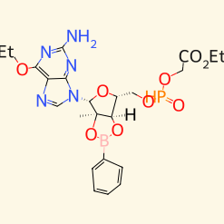 CCOC(=O)CO[PH](=O)OC[C@H]1O[C@@H](n2cnc3c(OCC)nc(N)nc32)[C@]2(C)OB(c3ccccc3)O[C@H]12